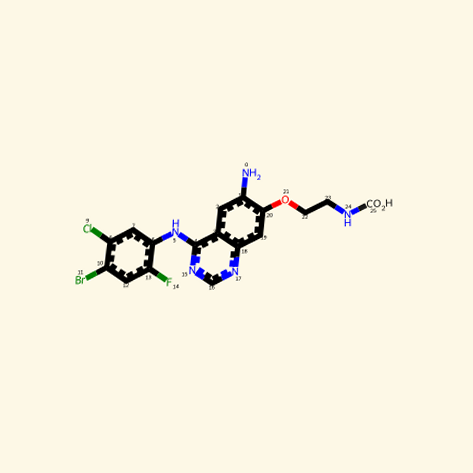 Nc1cc2c(Nc3cc(Cl)c(Br)cc3F)ncnc2cc1OCCNC(=O)O